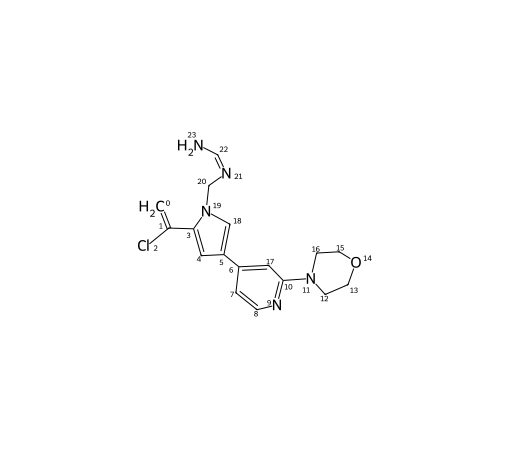 C=C(Cl)c1cc(-c2ccnc(N3CCOCC3)c2)cn1C/N=C\N